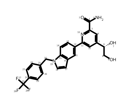 NC(=O)c1cc([C@H](O)CO)cc(-c2ccc3c(ccn3Cc3ccc(C(F)(F)F)cc3)c2)n1